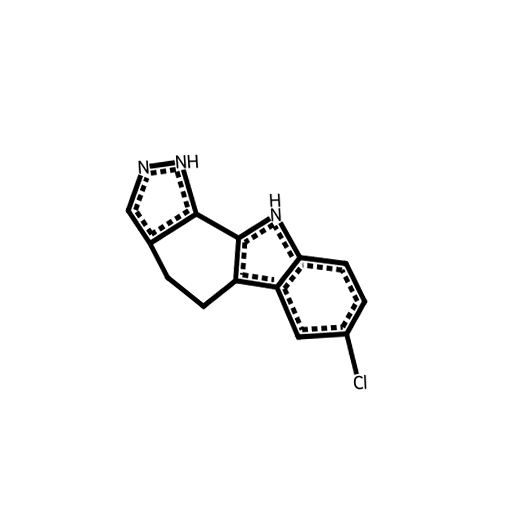 Clc1ccc2[nH]c3c(c2c1)CCc1cn[nH]c1-3